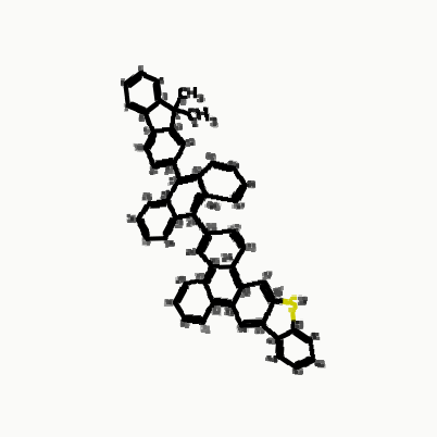 CC1(C)c2ccccc2-c2ccc(-c3c4ccccc4c(-c4ccc5c(c4)c4ccccc4c4cc6c(cc54)sc4ccccc46)c4ccccc34)cc21